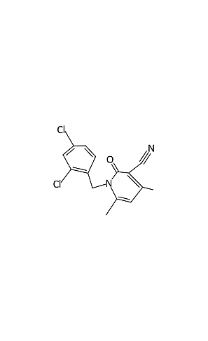 Cc1cc(C)n(Cc2ccc(Cl)cc2Cl)c(=O)c1C#N